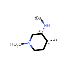 C[C@@H]1CCN(C(=O)O)C[C@@H]1NC(C)(C)C